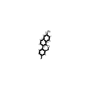 Cc1ccc2c(c1)COc1c-2ccc2cc(C(C)C)ccc12